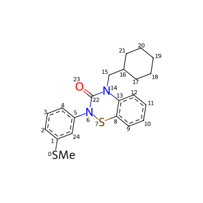 CSc1cccc(N2Sc3ccccc3N(CC3CCCCC3)C2=O)c1